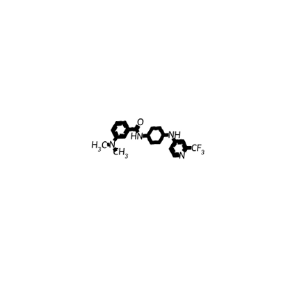 CN(C)c1cccc(C(=O)NC2CCC(Nc3ccnc(C(F)(F)F)c3)CC2)c1